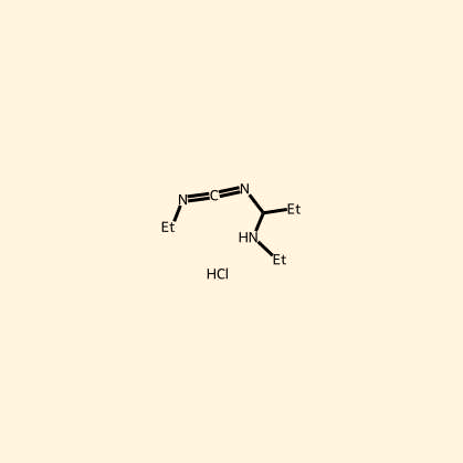 CCN=C=NC(CC)NCC.Cl